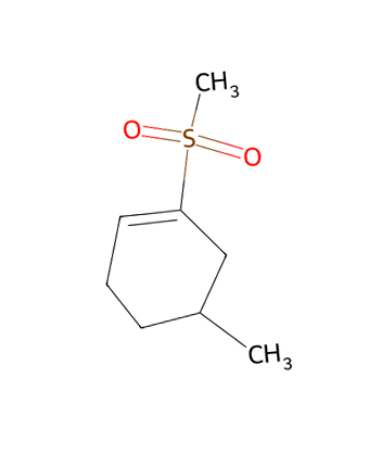 CC1CCC=C(S(C)(=O)=O)C1